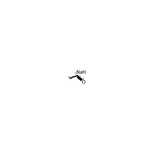 CC=O.[NaH]